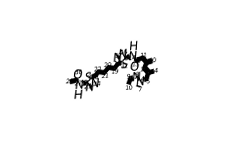 C=C(/C=C(\C)CN(C)/N=C\C)CC(=O)Nc1nnc(CCCCc2nnc(NC(C)=O)s2)s1